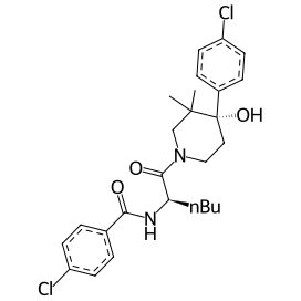 CCCC[C@@H](NC(=O)c1ccc(Cl)cc1)C(=O)N1CC[C@](O)(c2ccc(Cl)cc2)C(C)(C)C1